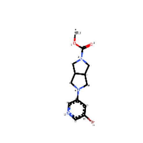 CC(C)(C)OC(=O)N1CC2CN(c3cncc(Br)c3)CC2C1